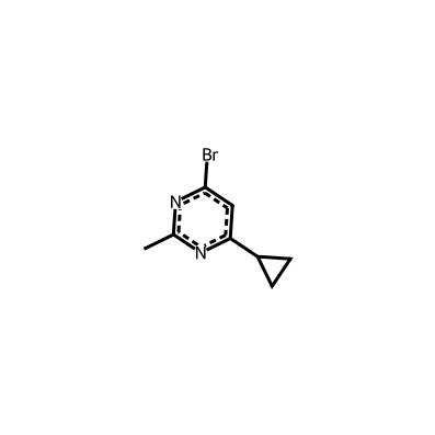 Cc1nc(Br)cc(C2CC2)n1